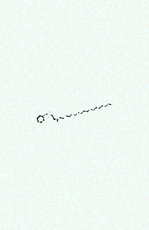 CCCCCCCCCCCCCCCCCCC(C)=CC[N+](C)(C)Cc1ccccc1.[Br-]